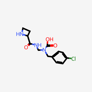 O=C(NCN(Cc1ccc(Cl)cc1)C(=O)O)C1CCN1